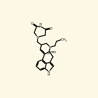 CCCN1CC(CN2CC(=O)NC(=O)C2)C=C2c3cccc4[nH]cc(c34)C[C@H]21